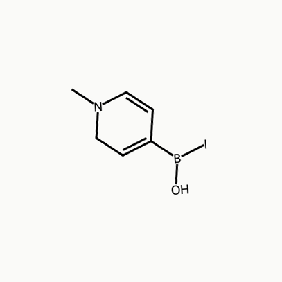 CN1C=CC(B(O)I)=CC1